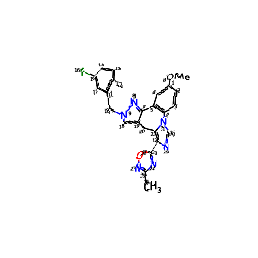 COc1ccc2c(c1)-c1nn(Cc3cccc(F)c3)cc1Cc1c(-c3nc(C)no3)ncn1-2